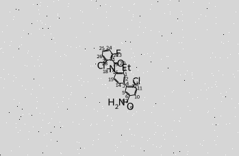 CCc1cc(-c2cc(C(N)=O)ccc2Cl)ccc1N(C)C(=O)c1c(F)cccc1Cl